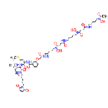 CSCC[C@H](NC(=O)c1cccc(OCC(=O)NCCCCCN(O)C(=O)CCC(=O)NCCCCCN(O)C(=O)CCC(=O)NCCCCCN(O)C(C)=O)c1)C(=O)N[C@H](C(=O)NCCCCCN1C(=O)C=CC1=O)C(C)C